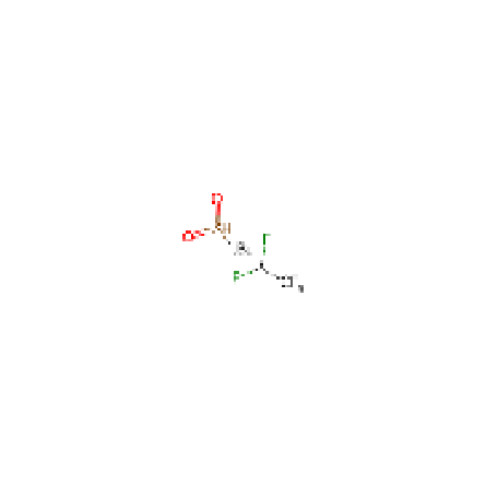 CC(C)(C)[SH](=O)=O.FC(F)C(F)(F)F